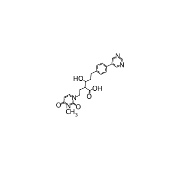 Cn1c(=O)ccn(CCC(C(=O)O)C(O)CCc2ccc(-c3cncnc3)cc2)c1=O